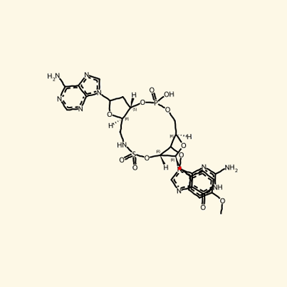 COc1ccc(COC2[C@H]3OS(=O)(=O)NC[C@H]4OC(n5cnc6c(N)ncnc65)C[C@@H]4OP(=O)(O)OC[C@H]2O[C@H]3n2cnc3c(=O)[nH]c(N)nc32)cc1